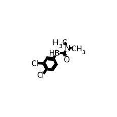 CN(C)C(=O)Bc1ccc(Cl)c(Cl)c1